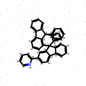 c1ccc(C23c4ccccc4-c4cccc(c42)C2(c4ccccc4-c4ccc(-c5ccccn5)cc42)c2ccccc23)cc1